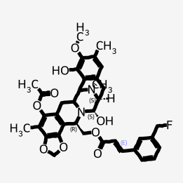 COc1c(C)cc2c(c1O)C1C3Cc4c(OC(C)=O)c(C)c5c(c4[C@H](COC(=O)/C=C/c4cccc(CF)c4)N3[C@@H](O)[C@H](C2)N1C)OCO5